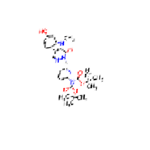 Cn1c2cc(O)ccc2c2cnn(Cc3cccc(N(C(=O)OC(C)(C)C)C(=O)OC(C)(C)C)n3)c(=O)c21